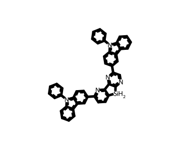 c1ccc(-n2c3ccccc3c3cc(-c4ccc5c(n4)-c4nc(-c6ccc7c(c6)c6ccccc6n7-c6ccccc6)cnc4[SiH2]5)ccc32)cc1